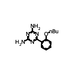 CCCCOc1ccccc1-c1nc(N)nc(N)n1